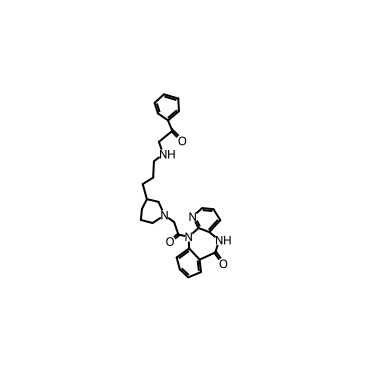 O=C(CNCCCC1CCCN(CC(=O)N2c3ccccc3C(=O)Nc3cccnc32)C1)c1ccccc1